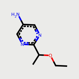 CCOC(C)c1ncc(N)cn1